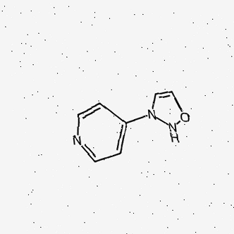 C1=CN(c2ccncc2)NO1